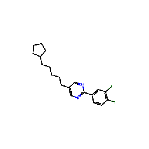 Fc1ccc(-c2ncc(CCCCCC3CCCC3)cn2)cc1F